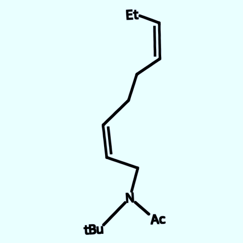 CC/C=C\CC/C=C\CN(C(C)=O)C(C)(C)C